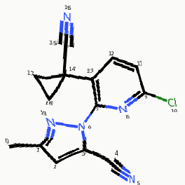 Cc1cc(C#N)n(-c2nc(Cl)ccc2C2(C#N)CC2)n1